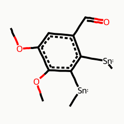 COc1cc(C=O)[c]([Sn][CH3])[c]([Sn][CH3])c1OC